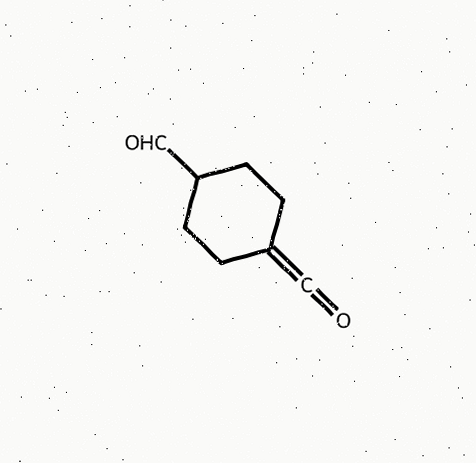 O=C=C1CCC(C=O)CC1